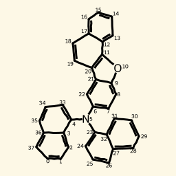 c1ccc2c(N(c3ccc4oc5c6ccccc6ccc5c4c3)c3cccc4ccccc34)cccc2c1